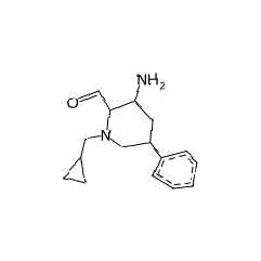 NC1CC(c2ccccc2)CN(CC2CC2)C1C=O